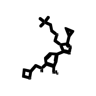 C[Si](C)(C)CCOCn1c(-c2ccc(NCC3CCO3)c(N)c2)nnc1C1CC1